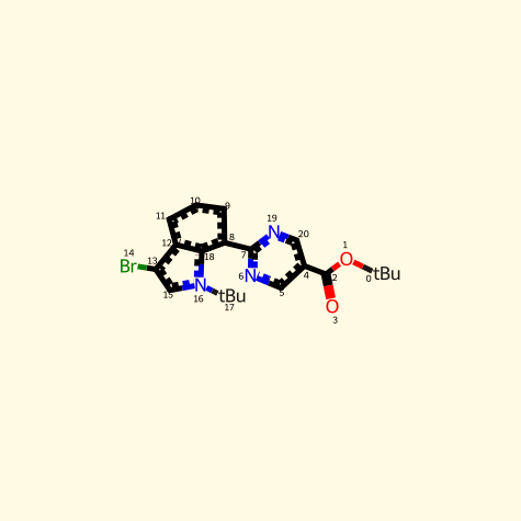 CC(C)(C)OC(=O)c1cnc(-c2cccc3c(Br)cn(C(C)(C)C)c23)nc1